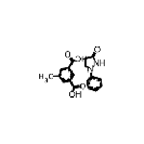 Cc1cc(C(=O)O)cc(C(=O)O)c1.O=C1CCN(c2ccccc2)N1